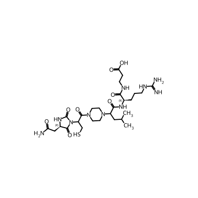 CC(C)CC(C(=O)N[C@H](CCCNC(=N)N)C(=O)NCCC(=O)O)N1CCN(C(=O)C(CS)N2C(=O)N[C@H](CC(N)=O)C2=O)CC1